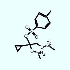 C[SiH2]OCC(O[SiH2]C)(OS(=O)(=O)c1ccc(C)cc1)C1CC1